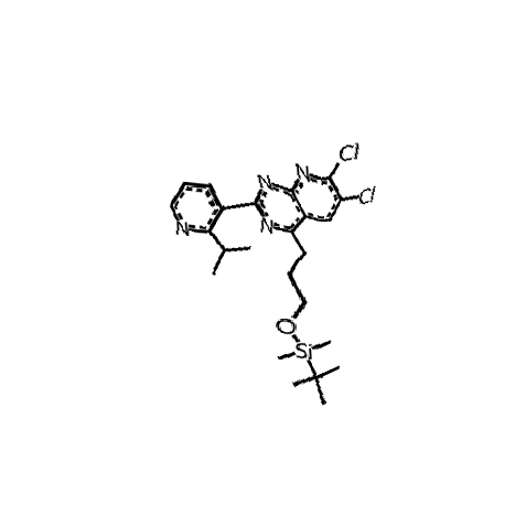 CC(C)c1ncccc1-c1nc(CCCO[Si](C)(C)C(C)(C)C)c2cc(Cl)c(Cl)nc2n1